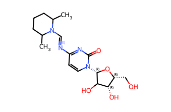 CC1CCCC(C)N1/C=N/c1ccn([C@@H]2O[C@H](CO)[C@H](O)C2O)c(=O)n1